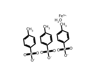 Cc1ccc(S(=O)(=O)[O-])cc1.Cc1ccc(S(=O)(=O)[O-])cc1.Cc1ccc(S(=O)(=O)[O-])cc1.O.[Fe+3]